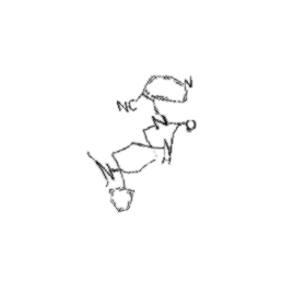 CN(C)[C@]1(c2ccccc2)CC[C@]2(CC1)CN(c1cnccc1C#N)C(=O)N2